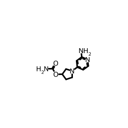 NC(=O)OC1CCN(c2ccnc(N)c2)C1